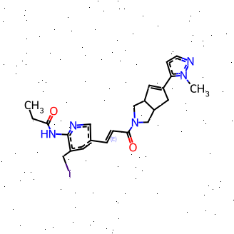 CCC(=O)Nc1ncc(/C=C/C(=O)N2CC3C=C(c4ccnn4C)CC3C2)cc1CI